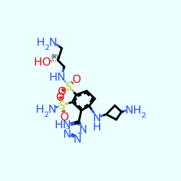 NC[C@@H](O)CNS(=O)(=O)c1ccc(NC2CC(N)C2)c(-c2nnn[nH]2)c1S(N)(=O)=O